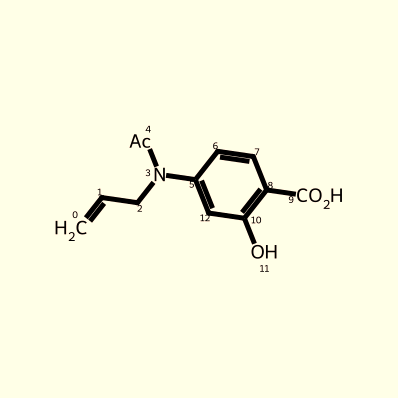 C=CCN(C(C)=O)c1ccc(C(=O)O)c(O)c1